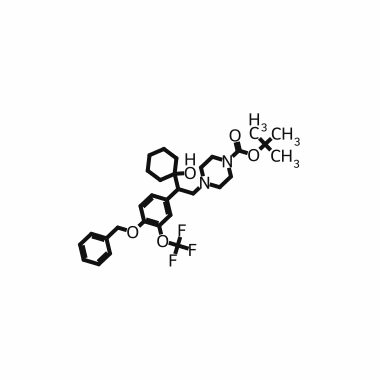 CC(C)(C)OC(=O)N1CCN(CC(c2ccc(OCc3ccccc3)c(OC(F)(F)F)c2)C2(O)CCCCC2)CC1